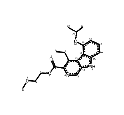 CCc1c(C(=O)OCCOC)ncc2[nH]c3cccc(OC(C)C)c3c12